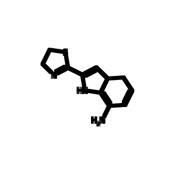 NC1=C2NC(C3=NCCS3)=CC2CC=C1